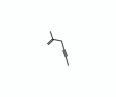 [CH2]C(=C)CC#CC